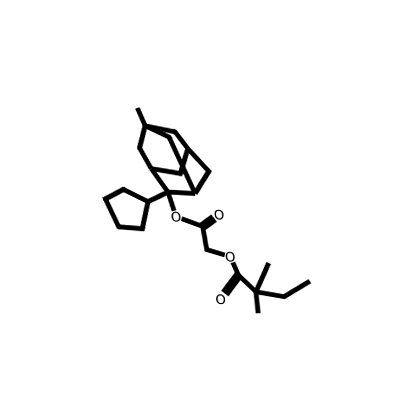 CCC(C)(C)C(=O)OCC(=O)OC1(C2CCCC2)C2CC3CC1CC(C)(C3)C2